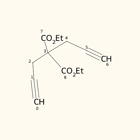 C#CCC(CC#C)(C(=O)OCC)C(=O)OCC